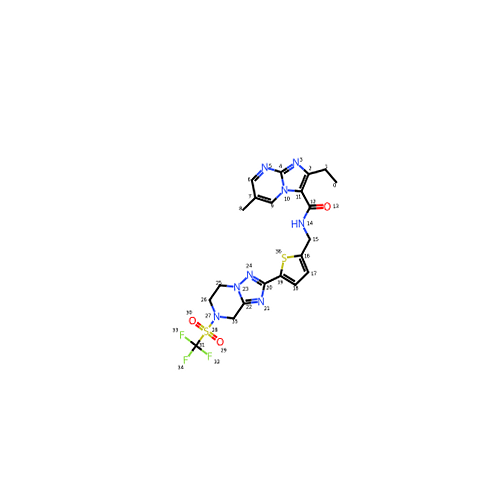 CCc1nc2ncc(C)cn2c1C(=O)NCc1ccc(-c2nc3n(n2)CCN(S(=O)(=O)C(F)(F)F)C3)s1